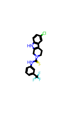 FC(F)(F)c1cccc(NC(=S)N2CCc3c([nH]c4ccc(Cl)cc34)C2)c1